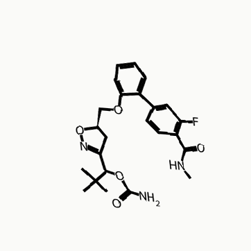 CNC(=O)c1ccc(-c2ccccc2OC[C@H]2CC(C(OC(N)=O)C(C)(C)C)=NO2)cc1F